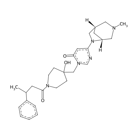 CC(CC(=O)N1CCC(O)(Cn2cnc(N3C[C@H]4C[C@@H]3CN(C)C4)cc2=O)CC1)c1ccccc1